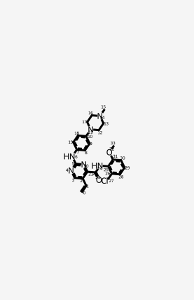 C=Cc1cnc(Nc2ccc(N3CCN(C)CC3)cc2)nc1C(=O)Nc1c(Cl)cccc1OC